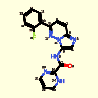 O=C(Nc1cnc2ccc(-c3ccccc3F)nn12)C1=NC=CCN1